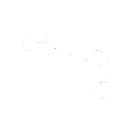 O=C(NCCCOc1cc(CN2CCCCC2)ccn1)c1cn[nH]c1